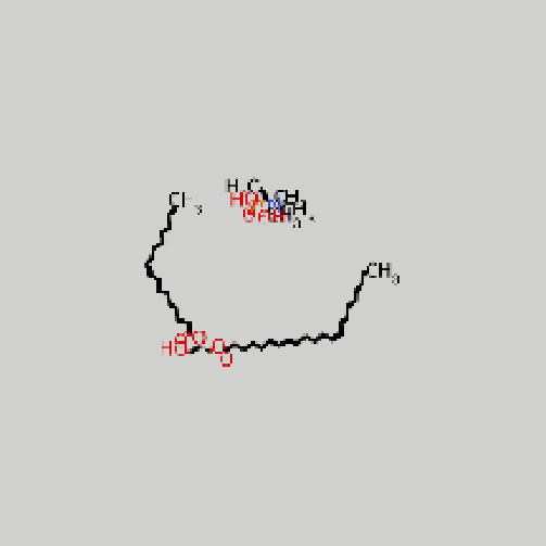 CCC([N+](C)(C)C)P(=O)(O)O.CCCCCCCC/C=C\CCCCCCCCCCCC(=O)OC[C@H](CO)OC(=O)CCCCCCC/C=C\CCCCCCCC